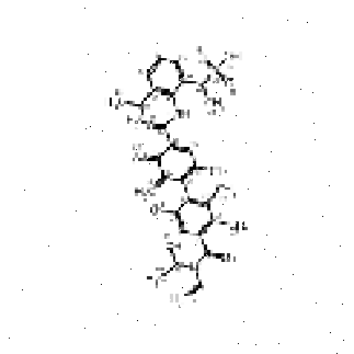 C=CN(C(=O)c1cc(Cl)c(-c2c(Cl)cc(C(=O)Nc3c(C(C)C)cccc3C(C)S(=O)(=O)O)c(=C)c2=C)c(C)c1C)C(C)O